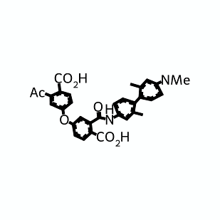 CNc1ccc(-c2ccc(NC(=O)c3cc(Oc4ccc(C(=O)O)c(C(C)=O)c4)ccc3C(=O)O)cc2C)c(C)c1